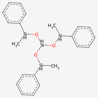 C[SiH](O[SiH](O[SiH](C)c1ccccc1)O[SiH](C)c1ccccc1)c1ccccc1